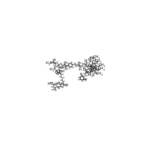 CC[C@H](C)[C@@H]([C@@H](CC(=O)N1C[C@@H](NC(=O)OCc2ccc(NC(=O)[C@H](CCCNC(N)=O)NC(=O)[C@@H](NC(=O)CCCCCN3C(=O)CC(SCC4(CC(=O)O)CC4)C3=O)C(C)C)cc2)C[C@H]1[C@H](OC)[C@@H](C)C(=O)NCCc1c(F)cccc1F)OC)N(C)C(=O)[C@@H](NC(=O)[C@H](C(C)C)N(C)C)C(C)C